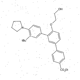 CCOC(=O)c1ccc(-c2ccc(OCCO)c(-c3ccc(N4CCCC4)c(C(C)(C)C)c3)c2)cc1